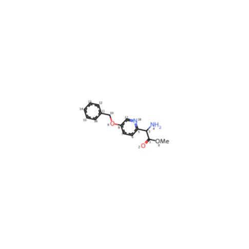 COC(=O)C(N)c1ccc(OCc2ccccc2)cn1